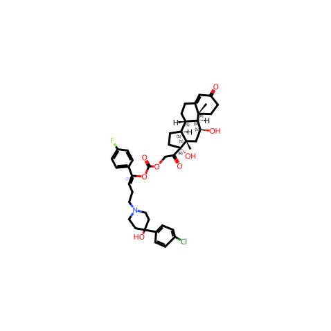 C[C@]12CCC(=O)C=C1CC[C@@H]1[C@@H]2[C@@H](O)C[C@@]2(C)[C@H]1CC[C@]2(O)C(=O)COC(=O)O/C(=C\CCN1CCC(O)(c2ccc(Cl)cc2)CC1)c1ccc(F)cc1